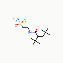 CC(C)(C)CC(C(=O)NCCS(N)(=O)=O)C(C)(C)C